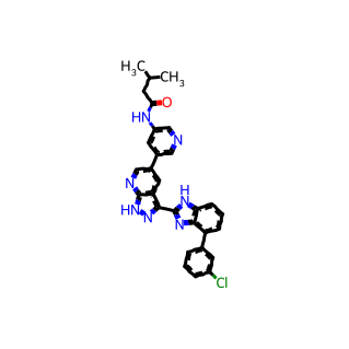 CC(C)CC(=O)Nc1cncc(-c2cnc3[nH]nc(-c4nc5c(-c6cccc(Cl)c6)cccc5[nH]4)c3c2)c1